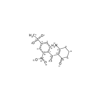 CS(=O)(=O)c1ccc(C(=O)C2=C(N)CCCC2=O)c([N+](=O)[O-])c1